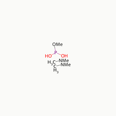 CNC.CNC.COP(O)O